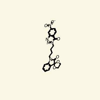 O=C1N(CCCCn2nnc3cc([N+](=O)[O-])ccc3c2=O)c2ccccc2C12OCCO2